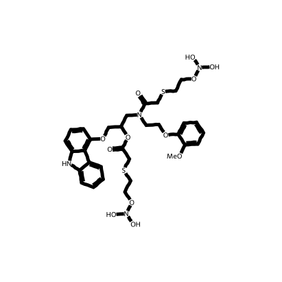 COc1ccccc1OCCN(CC(COc1cccc2[nH]c3ccccc3c12)OC(=O)CSCCON(O)O)C(=O)CSCCON(O)O